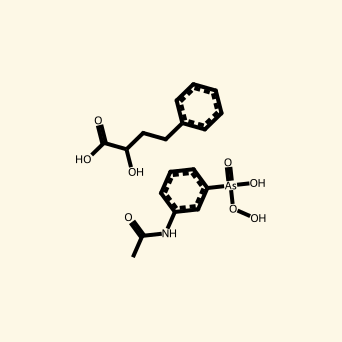 CC(=O)Nc1cccc([As](=O)(O)OO)c1.O=C(O)C(O)CCc1ccccc1